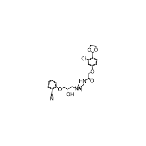 CC(C)(CNC(=O)COc1ccc(C2OCCO2)c(Cl)c1)NC[C@H](O)COc1ccccc1C#N